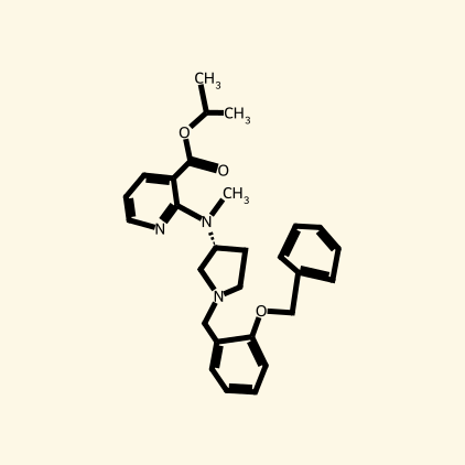 CC(C)OC(=O)c1cccnc1N(C)[C@@H]1CCN(Cc2ccccc2OCc2ccccc2)C1